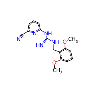 COc1cccc(OC)c1CNC(=N)Nc1cccc(C#N)n1